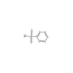 [CH2]C(C)S(=O)(=O)c1ccccc1